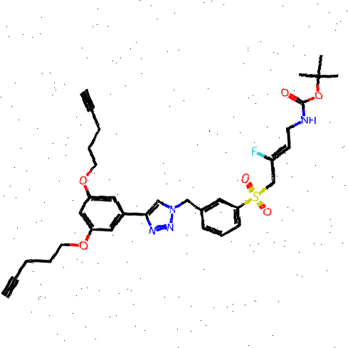 C#CCCCOc1cc(OCCCC#C)cc(-c2cn(Cc3cccc(S(=O)(=O)C/C(F)=C/CNC(=O)OC(C)(C)C)c3)nn2)c1